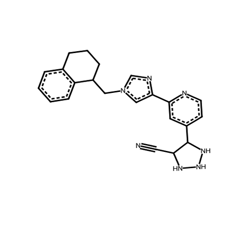 N#CC1NNNC1c1ccnc(-c2cn(CC3CCCc4ccccc43)cn2)c1